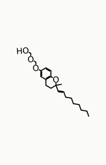 CCCCCCC/C=C/C1(C)CCc2cc(OCOCO)ccc2O1